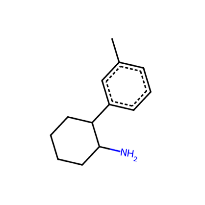 Cc1cccc(C2CCCCC2N)c1